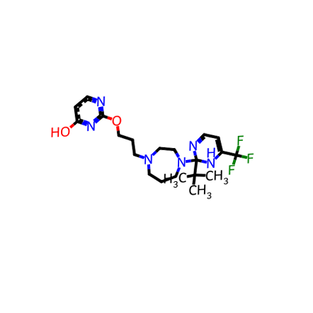 CC(C)(C)C1(N2CCCN(CCCOc3nccc(O)n3)CC2)N=CC=C(C(F)(F)F)N1